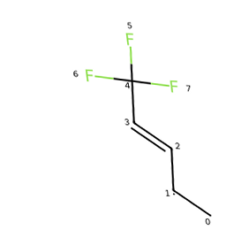 C[CH]C=CC(F)(F)F